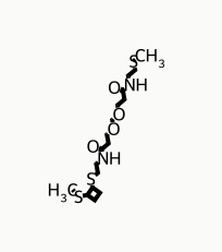 CSCCNC(=O)CCOCOCCC(=O)NCCSC1CCC1SC